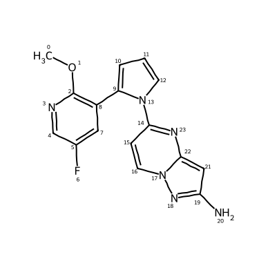 COc1ncc(F)cc1-c1cccn1-c1ccn2nc(N)cc2n1